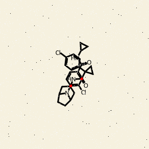 O=C(NC1CC1)c1ccc(N2C3CCC2CC(NC(=O)C2(c4ccc(Cl)cc4)CC2)C3)c(Cl)c1